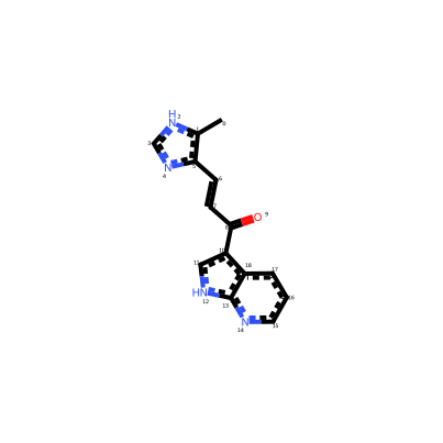 Cc1[nH]cnc1C=CC(=O)c1c[nH]c2ncccc12